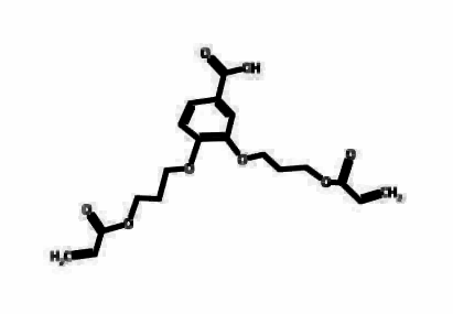 C=CC(=O)OCCCOc1ccc(C(=O)O)cc1OCCCOC(=O)C=C